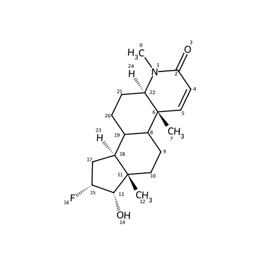 CN1C(=O)C=C[C@]2(C)C3CC[C@]4(C)[C@H](O)[C@H](F)C[C@H]4C3CC[C@@H]12